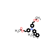 CC(=O)OCCc1ccc(N(c2ccc(CCOC(C)=O)cc2)c2ccc3c(c2)C(C)(C)c2ccccc2-3)cc1